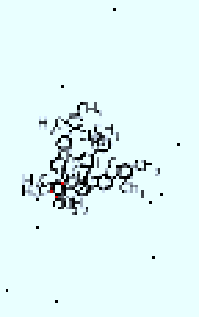 Cc1cc(C)c(-c2ccc3c4ccc(-c5c(C)cc(C)cc5C)cc4n(-c4cc(-c5cccc(C)n5)cc(-n5c6cc(-c7c(C)cc(C)cc7C)ccc6c6ccc(-c7c(C)cc(C)cc7C)cc65)c4C#N)c3c2)c(C)c1